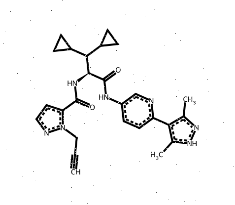 C#CCn1nccc1C(=O)N[C@H](C(=O)Nc1ccc(-c2c(C)n[nH]c2C)nc1)C(C1CC1)C1CC1